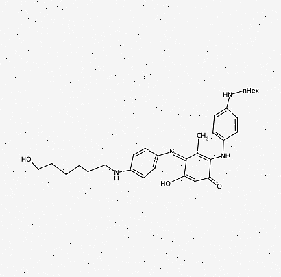 CCCCCCNc1ccc(NC2=C(C)/C(=N/c3ccc(NCCCCCCO)cc3)C(O)=CC2=O)cc1